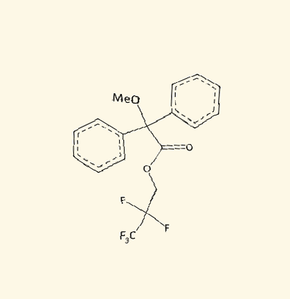 COC(C(=O)OCC(F)(F)C(F)(F)F)(c1ccccc1)c1ccccc1